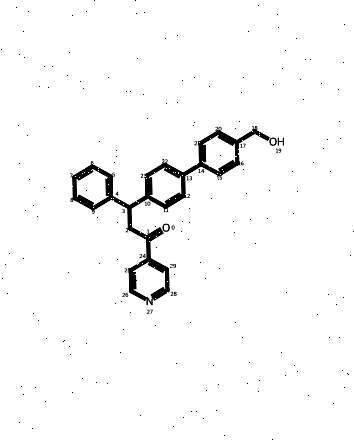 O=C(CC(c1ccccc1)c1ccc(-c2ccc(CO)cc2)cc1)c1ccncc1